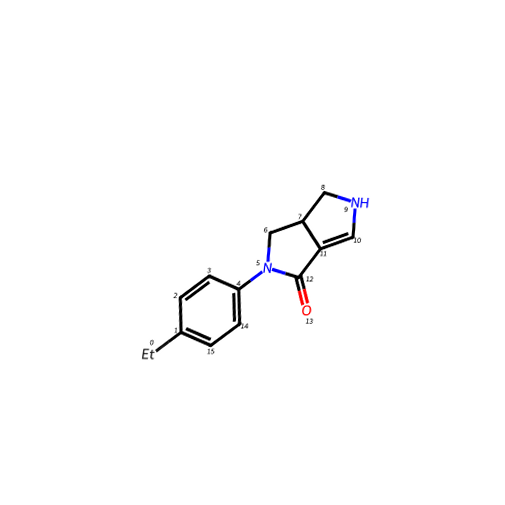 CCc1ccc(N2CC3CNC=C3C2=O)cc1